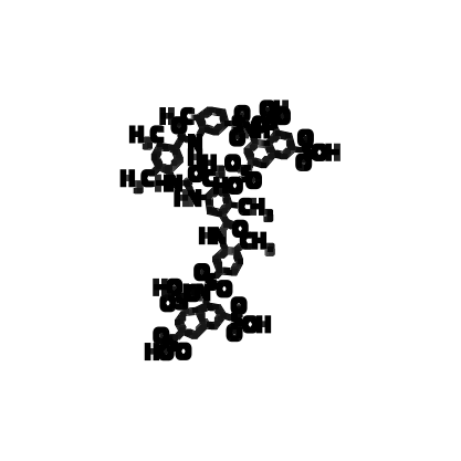 Cc1cc(C)c(C(=O)Nc2cc(S(=O)(=O)Nc3cc(S(=O)(=O)O)cc4cc(S(=O)(=O)O)cc(S(=O)(=O)O)c34)ccc2C)cc1NC(=O)Nc1cc(C(=O)Nc2cc(S(=O)(=O)Nc3cc(S(=O)(=O)O)cc4cc(S(=O)(=O)O)cc(S(=O)(=O)O)c34)ccc2C)c(C)cc1C